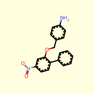 Nc1ccc(COc2cc([N+](=O)[O-])ccc2-c2ccccc2)cc1